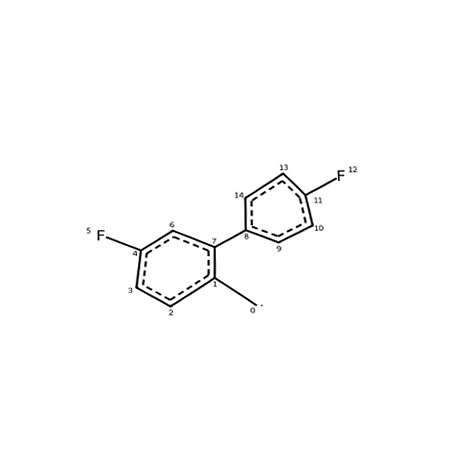 [CH2]c1ccc(F)cc1-c1ccc(F)cc1